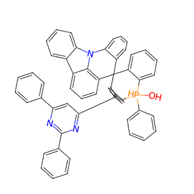 O[PH]1(c2ccccc2)c2ccccc2C2(c3ccccc3-n3c4ccccc4c4cccc2c43)c2cc(-c3cc(-c4ccccc4)nc(-c4ccccc4)n3)ccc21